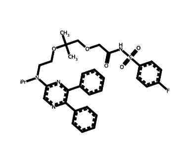 CC(C)N(CCOC(C)(C)COCC(=O)NS(=O)(=O)c1ccc(F)cc1)c1cnc(-c2ccccc2)c(-c2ccccc2)n1